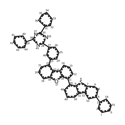 c1ccc(-c2ccc3sc4c(-c5cccc6c5oc5cccc(-c7cccc(-c8nc(-c9ccccc9)nc(-c9ccccc9)n8)c7)c56)cccc4c3c2)cc1